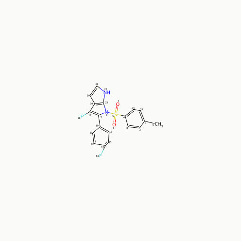 Cc1ccc(S(=O)(=O)n2c(-c3ccc(F)cc3)c(F)c3cc[nH]c32)cc1